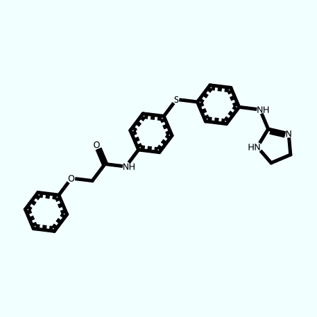 O=C(COc1ccccc1)Nc1ccc(Sc2ccc(NC3=NCCN3)cc2)cc1